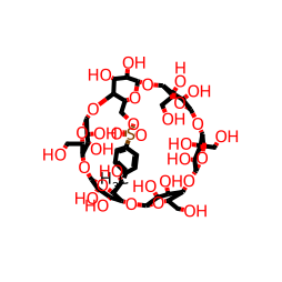 Cc1ccc(S(=O)(=O)OCC2OC3OC4C(CO)OC(OC5C(CO)OC(OC6C(CO)OC(OC7C(CO)OC(OC8C(CO)OC(OC2C(O)C3O)C(O)C8O)C(O)C7O)C(O)C6O)C(O)C5O)C(O)C4O)cc1